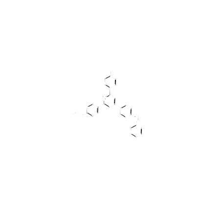 CCOc1ccc(-c2cc(-c3ccc(Nc4ccccc4)cc3)cc(-c3ccc(F)cc3)n2)cc1